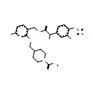 CC(C(=O)NCc1ccc(C(F)(F)F)nc1OCC1CCN(C(=O)OC(C)(C)C)CC1)c1ccc(NS(C)(=O)=O)c(F)c1